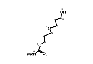 CNC(=O)OCCCOCCCO